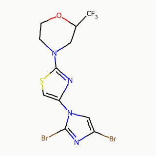 FC(F)(F)C1CN(c2nc(-n3cc(Br)nc3Br)cs2)CCO1